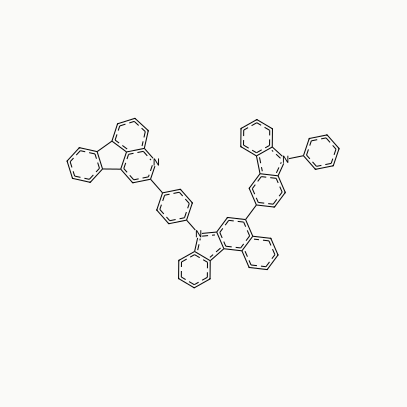 c1ccc(-n2c3ccccc3c3cc(-c4cc5c(c6ccccc46)c4ccccc4n5-c4ccc(-c5cc6c7c(cccc7n5)-c5ccccc5-6)cc4)ccc32)cc1